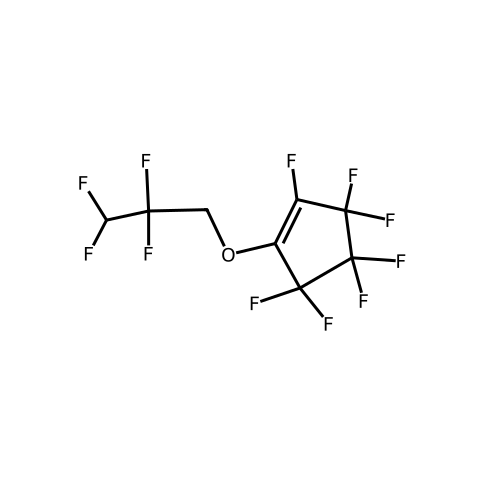 FC1=C(OCC(F)(F)C(F)F)C(F)(F)C(F)(F)C1(F)F